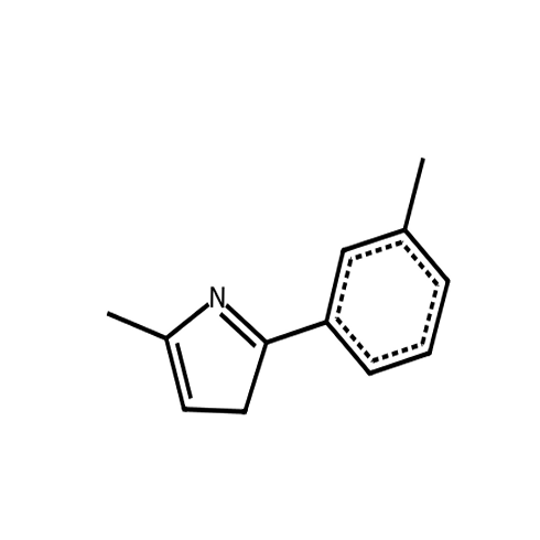 CC1=CCC(c2cccc(C)c2)=N1